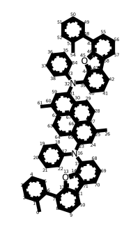 Cc1ccccc1-c1cccc2c1oc1c(N(c3ccccc3)c3cc(C)c4ccc5c(N(c6ccccc6)c6cccc7c6oc6c(-c8ccccc8C)cccc67)cc(C)c6ccc3c4c65)cccc12